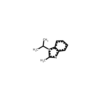 Cc1nc2ccccc2n1C(C)C